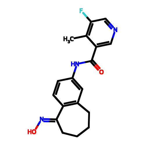 Cc1c(F)cncc1C(=O)Nc1ccc2c(c1)CCCC/C2=N\O